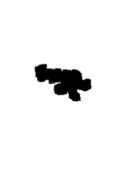 Cc1cc(OCc2ccccc2)c([C@@H]2O[C@H](COCc3ccccc3)[C@@H](F)[C@H](OCc3ccccc3)[C@H]2OCc2ccccc2)cc1Cc1cc2c(s1)CCN(C(=O)c1nccs1)C2